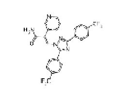 NC(=O)C(=Cn1nc(-c2ccc(C(F)(F)F)cc2)nc1-c1ccc(C(F)(F)F)cc1)c1cccnc1